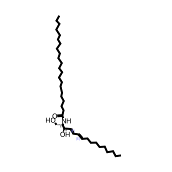 CCCCCCCCC/C=C/C=C/[C@@H](O)[C@H](CO)NC(=O)CCCCCCCCCCCCCCCCCCCCC